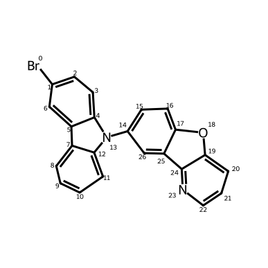 Brc1ccc2c(c1)c1ccccc1n2-c1ccc2oc3cccnc3c2c1